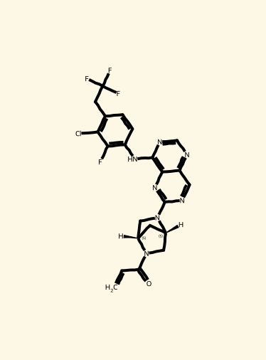 C=CC(=O)N1C[C@@H]2C[C@H]1CN2c1ncc2ncnc(Nc3ccc(CC(F)(F)F)c(Cl)c3F)c2n1